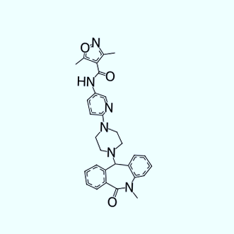 Cc1noc(C)c1C(=O)Nc1ccc(N2CCN(C3c4ccccc4C(=O)N(C)c4ccccc43)CC2)nc1